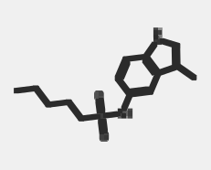 CCCCCS(=O)(=O)Nc1ccc2[nH]cc(C)c2c1